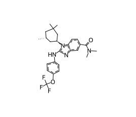 C[C@H]1C[C@H](n2c(Nc3ccc(OC(F)(F)F)cc3)nc3cc(C(=O)N(C)C)ccc32)CC(C)(C)C1